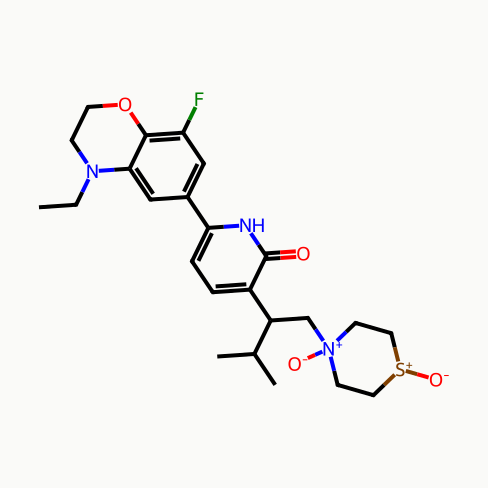 CCN1CCOc2c(F)cc(-c3ccc(C(C[N+]4([O-])CC[S+]([O-])CC4)C(C)C)c(=O)[nH]3)cc21